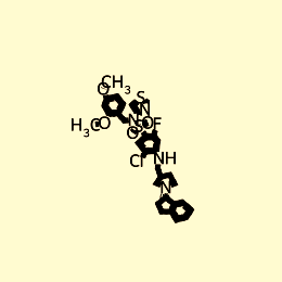 COc1ccc(CN(c2cscn2)S(=O)(=O)c2cc(Cl)c(NCC3CCN([C@H]4CCc5ccccc54)C3)cc2F)c(OC)c1